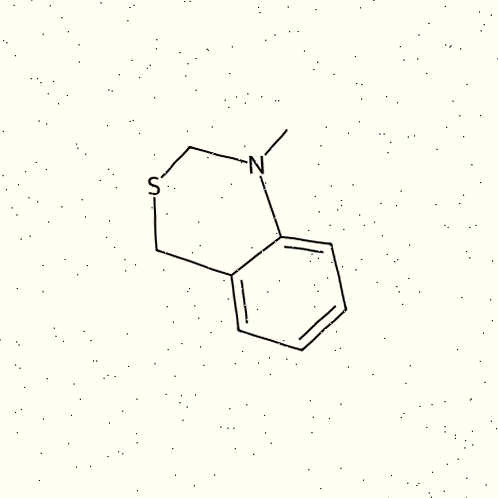 CN1CSCc2ccccc21